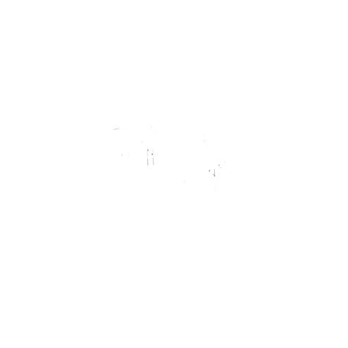 CS(=O)(=O)NCc1csc([N+](=O)[O-])c1SCc1ccccc1